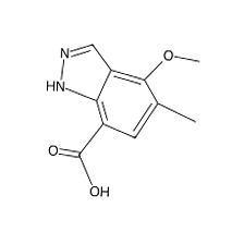 COc1c(C)cc(C(=O)O)c2[nH]ncc12